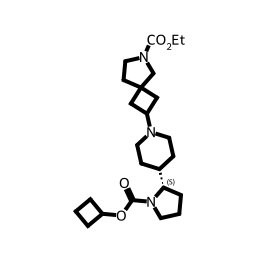 CCOC(=O)N1CCC2(CC(N3CCC([C@@H]4CCCN4C(=O)OC4CCC4)CC3)C2)C1